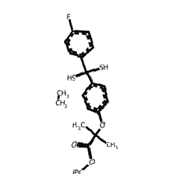 CC.CC(C)OC(=O)C(C)(C)Oc1ccc(C(S)(S)c2ccc(F)cc2)cc1